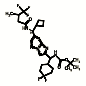 CC(CC(=O)N[C@@H](c1cnn2cc(C(NC(=O)OC(C)(C)C)C3CCC(F)(F)CC3)nc2c1)C1CCC1)C(F)(F)F